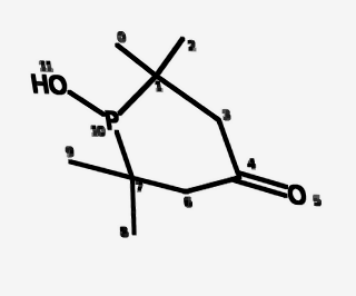 CC1(C)CC(=O)CC(C)(C)P1O